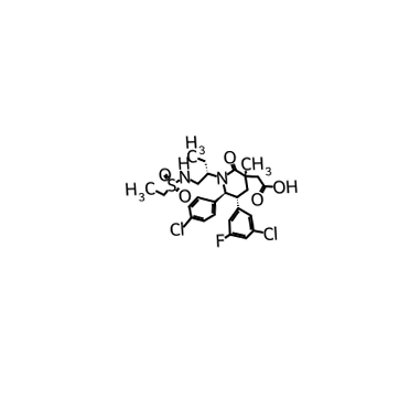 CC[C@@H](CNS(=O)(=O)CC)N1C(=O)[C@](C)(CC(=O)O)C[C@H](c2cc(F)cc(Cl)c2)[C@H]1c1ccc(Cl)cc1